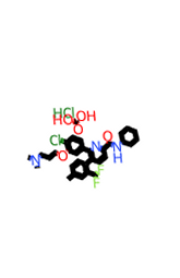 Cc1ccc(-c2ccc(C(=O)NC3CCCCC3)nc2-c2ccc(Cl)c(OCCCN(C)C)c2)c(C(F)F)c1.Cl.O=C(O)O